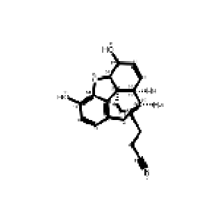 N#CCCN1CC[C@]23c4c5ccc(O)c4OC2C(O)C=C[C@H]3[C@H]1C5